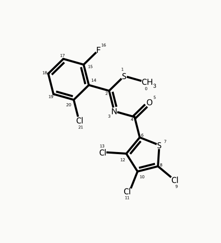 CSC(=NC(=O)c1sc(Cl)c(Cl)c1Cl)c1c(F)cccc1Cl